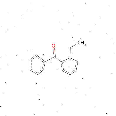 C[CH]c1ccccc1C(=O)c1ccccc1